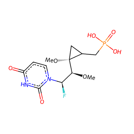 CO[C@@H]([C@@H](F)n1ccc(=O)[nH]c1=O)[C@@]1(OC)CC1CP(=O)(O)O